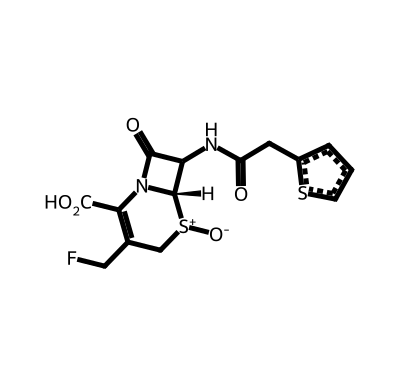 O=C(Cc1cccs1)NC1C(=O)N2C(C(=O)O)=C(CF)C[S+]([O-])[C@@H]12